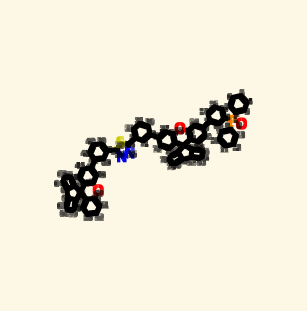 O=P(c1ccccc1)(c1ccccc1)c1cccc(-c2ccc3c(c2)Oc2cc(-c4cccc(-c5nnc(-c6cccc(-c7ccc8c(c7)Oc7ccccc7C87c8ccccc8-c8ccccc87)c6)s5)c4)ccc2C32c3ccccc3-c3ccccc32)c1